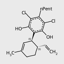 C=C[C@@H]1CCC(C)=C[C@H]1c1c(O)c(Cl)c(CCCCC)c(Cl)c1O